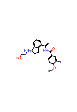 C=C(NC(=O)C1=CCC(OC(C)C)C(I)=C1)c1cccc2c1CC[C@@H]2NCCO